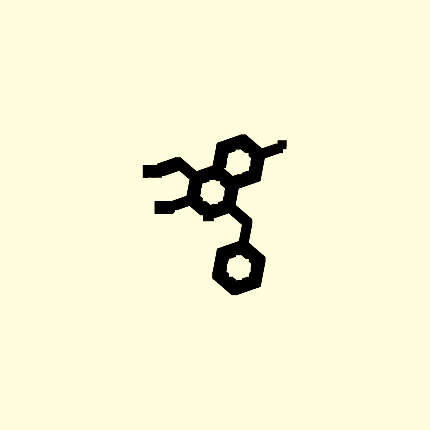 N=Cc1c(O)nc(Cc2ccccc2)c2cc(F)ccc12